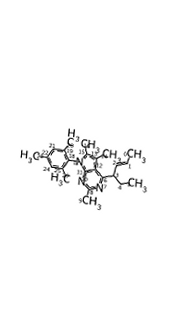 CC=CC(CC)c1nc(C)nc2c1c(C)c(C)n2-c1c(C)cc(C)cc1C